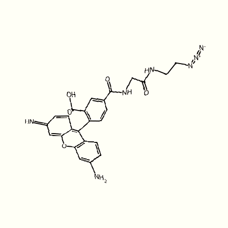 [N-]=[N+]=NCCNC(=O)CNC(=O)c1ccc(-c2c3ccc(=N)cc-3oc3cc(N)ccc23)c(C(=O)O)c1